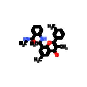 CNC(=O)c1ccccc1NC(C)c1cc(C)cc2c(=O)c(C)c(-c3cccc(C)c3)oc12